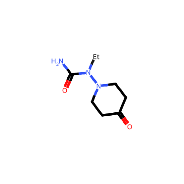 CCN(C(N)=O)N1CCC(=O)CC1